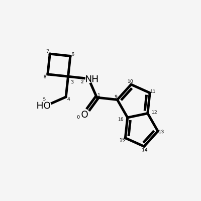 O=C(NC1(CO)CCC1)C1=CC=C2C=CC=C21